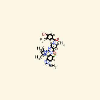 Cc1cc(C)n(-c2nc3c(c(=O)n2-c2cc4ncn(C)c4cc2F)C[C@@H](C)N(C(=O)c2ccc(Br)c(C(F)(F)F)c2)C3)n1